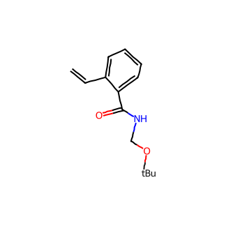 C=Cc1ccccc1C(=O)NCOC(C)(C)C